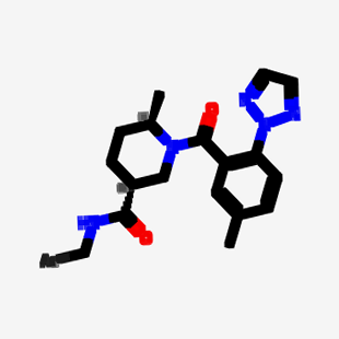 CC(=O)CNC(=O)[C@@H]1CC[C@@H](C)N(C(=O)c2cc(C)ccc2-n2nccn2)C1